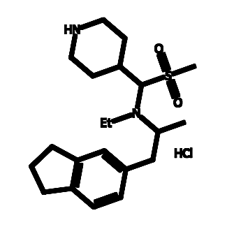 CCN(C(C)Cc1ccc2c(c1)CCC2)C(C1CCNCC1)S(C)(=O)=O.Cl